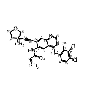 C=CC(=O)Nc1cc2c(Nc3ccc(Cl)c(Cl)c3F)ncnc2cc1C#CC1(C)CCOC1